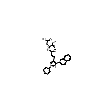 O=C(O)C[C@H](NC(=O)C=Cc1cn(-c2ccccc2)nc1-c1ccc2ccccc2c1)C(=O)O